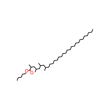 CCCCCCCCCCCCCCCCCCCCCCC(C)CC(C)CC(C)CC(C)C(=O)OCCCCC